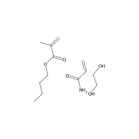 C=C(C)C(=O)OCCCC.C=CC(N)=O.OCCO